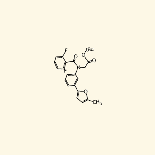 Cc1ccc(-c2cccc(N(CC(=O)OC(C)(C)C)C(=O)c3c(F)cccc3F)c2)o1